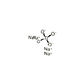 [Na+].[Na+].[Na+].[Na+].[O-][Ti]([O-])([O-])[O-]